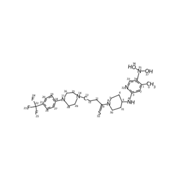 Cc1cc(NC2CCN(C(=S)CCCN3CCN(c4ccc(C(F)(F)F)cc4)CC3)CC2)ncc1N(O)O